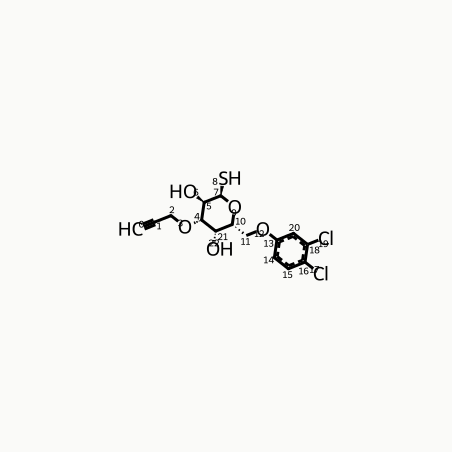 C#CCO[C@@H]1[C@@H](O)[C@@H](S)O[C@H](COc2ccc(Cl)c(Cl)c2)[C@@H]1O